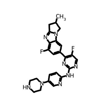 CC1Cc2nc3c(F)cc(-c4nc(Nc5ccc(N6CCNCC6)cn5)ncc4F)cc3n2C1